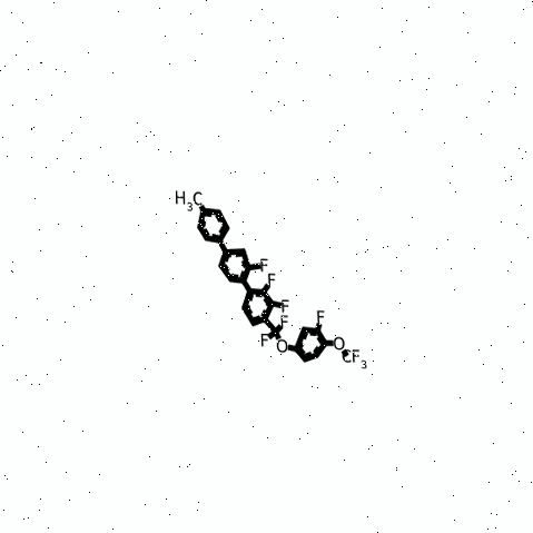 Cc1ccc(-c2ccc(-c3ccc(C(F)(F)Oc4ccc(OC(F)(F)F)c(F)c4)c(F)c3F)c(F)c2)cc1